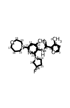 Cc1ccoc1C(=O)Nc1c(C)cc(N2CCCOCC2)nc1N1CC[C@@H](F)C1